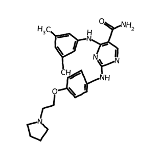 Cc1cc(C)cc(Nc2nc(Nc3ccc(OCCN4CCCC4)cc3)ncc2C(N)=O)c1